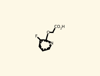 O=C(O)COc1ncccc1F